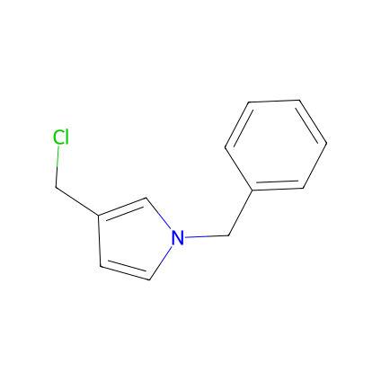 ClCc1ccn(Cc2ccccc2)c1